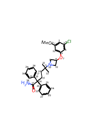 COc1cc(Cl)cc(OC2CN(C(C)(C)CCC(C(N)=O)(c3ccccc3)c3ccccc3)C2)c1